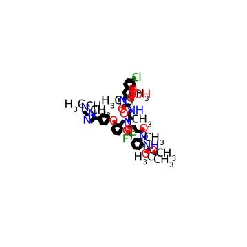 COC[C@H](NC(=O)[C@H](C)N(Cc1c(Oc2ccc(-c3cnc(CN(C)C)n3C)cc2)cccc1OC(F)F)C(=O)CCC(=O)N(C)[C@H]1CCCC[C@@H]1NC(=O)OC(C)(C)C)C(=O)N(C)[C@H](CC(=O)O)Cc1ccc(Cl)cc1